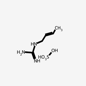 C/C=C/CNC(=N)N.O=S(=O)(O)O